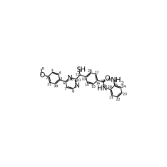 COc1ccc(-c2ccnc(C(S)c3ccc(C(=O)Nc4ccccc4N)cc3)n2)cc1